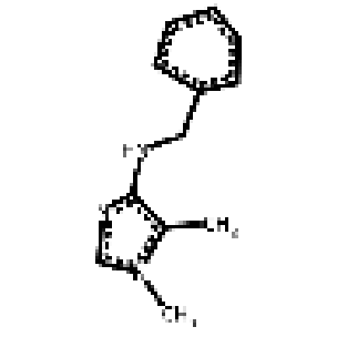 Cc1c(NCc2ccccc2)ncn1C